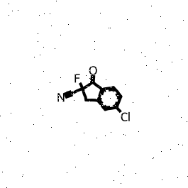 N#CC1(F)Cc2cc(Cl)ccc2C1=O